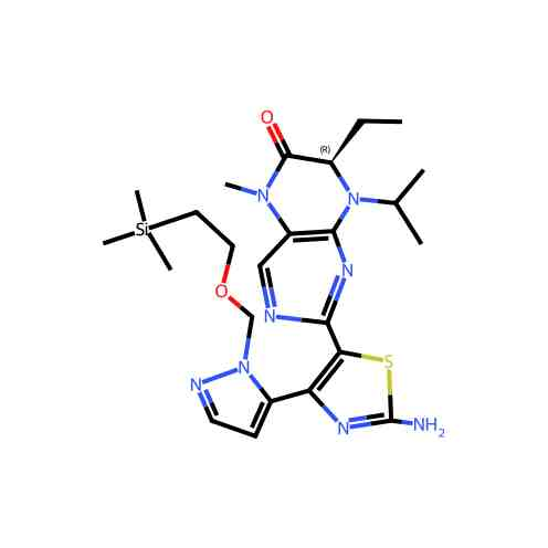 CC[C@@H]1C(=O)N(C)c2cnc(-c3sc(N)nc3-c3ccnn3COCC[Si](C)(C)C)nc2N1C(C)C